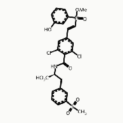 COP(=O)(/C=C/c1cc(Cl)c(C(=O)N[C@@H](Cc2cccc(S(C)(=O)=O)c2)C(=O)O)c(Cl)c1)c1cccc(O)c1